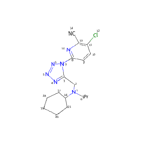 CC(C)N(Cc1nnnn1-c1ccc(Cl)c(C#N)n1)C1CCCCC1